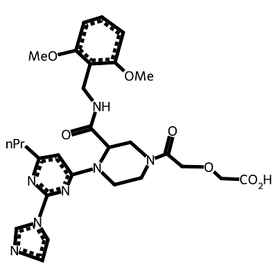 CCCc1cc(N2CCN(C(=O)COCC(=O)O)CC2C(=O)NCc2c(OC)cccc2OC)nc(-n2ccnc2)n1